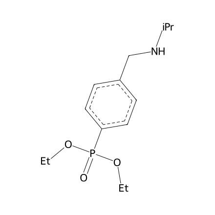 CCOP(=O)(OCC)c1ccc(CNC(C)C)cc1